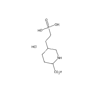 Cl.O=C(O)C1CCC(CCP(=O)(O)O)CN1